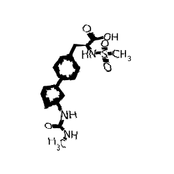 CNC(=O)Nc1cccc(-c2ccc(C[C@H](NS(C)(=O)=O)C(=O)O)cc2)c1